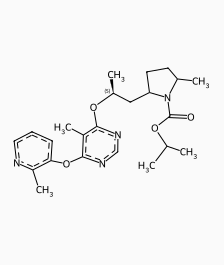 Cc1ncccc1Oc1ncnc(O[C@@H](C)CC2CCC(C)N2C(=O)OC(C)C)c1C